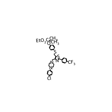 CCOC(=O)C(C)(C)Oc1ccc(SCc2sc(-c3ccc(C(F)(F)F)cc3)nc2CN2CCN(c3ccc(Cl)cc3)CC2)cc1